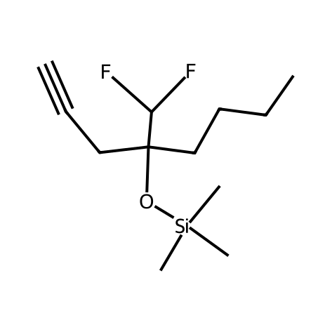 C#CCC(CCCC)(O[Si](C)(C)C)C(F)F